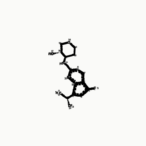 C[C@H](c1cc(F)c2cnc(N[C@@H]3CCOC[C@H]3O)nn12)C(F)(F)F